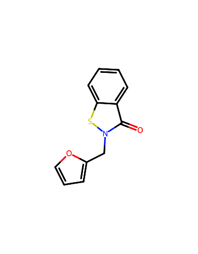 O=c1c2ccccc2sn1Cc1ccco1